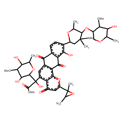 CNC1(C)CC(c2ccc3c(c2O)C(=O)c2c(cc(C(O)(C(=O)OC)C4OC(C)C(O)C(OC)C4O)c4c(=O)cc(C5(C)OC5C)oc24)C3=O)OC(C)C1OC1COC(C)C(O)C1OC